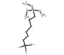 CO[Si](CCCCCCC(F)(F)F)(OC)OC